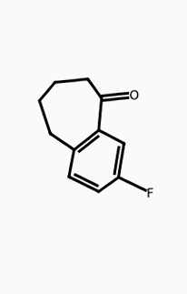 O=C1CCCCc2ccc(F)cc21